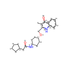 Cc1c(CO[C@H]2CC[C@H](NC(=O)CC3CCCC3)CC2)[nH]c2ccccc2c1=O